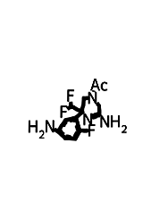 CC(=O)N1CC(N)=NC(c2cc(N)ccc2F)(C(F)F)C1